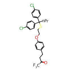 CCCC(SCCOc1ccc(CCC(=O)C(F)(F)F)cc1)(c1ccc(Cl)cc1)c1ccc(Cl)cc1